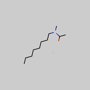 CCCCCCCCN(C)C(C)O.Cl.[NaH]